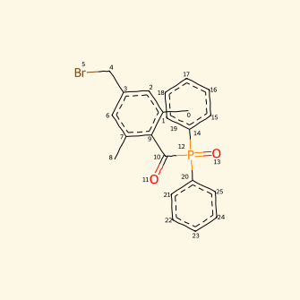 Cc1cc(CBr)cc(C)c1C(=O)P(=O)(c1ccccc1)c1ccccc1